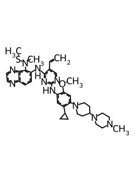 C=Cc1cnc(Nc2cc(C3CC3)c(N3CCC(N4CCN(C)CC4)CC3)cc2OC)nc1Nc1ccc2nccnc2c1N(C)SC